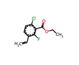 C=Cc1ccc(Cl)c(C(=O)OCC)c1F